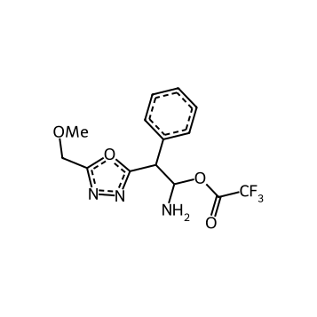 COCc1nnc(C(c2ccccc2)C(N)OC(=O)C(F)(F)F)o1